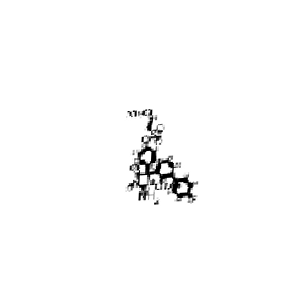 COCCS(=O)(=O)Oc1ccc(C2(c3cccc(-c4ccc(F)cc4)c3OC)N=C(N)N(C)C2=O)cc1